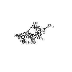 C=C(/C=C/C=C1/N(CCCCCC(=O)O)c2ccc3c(S(=O)(=O)O)cc(S(=O)(=O)O)cc3c2C1(C)C)C(C)(CCCS(=O)(=O)O)c1c(C)ccc2c(C(=O)NCCOC)cc(S(=O)(=O)O)cc12